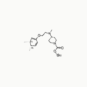 C[C@@H]1C=C(OCCN(C)C2CCN(C(=O)OC(C)(C)C)CC2)C=C[C@@H]1C